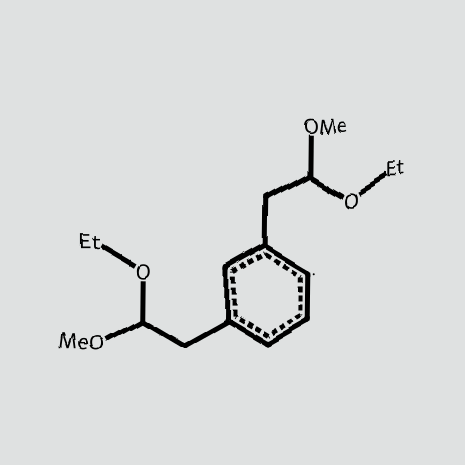 CCOC(Cc1[c]ccc(CC(OC)OCC)c1)OC